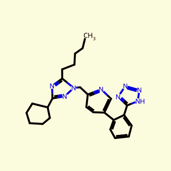 CCCCCc1nc(C2CCCCC2)nn1Cc1ccc(-c2ccccc2-c2nnn[nH]2)cn1